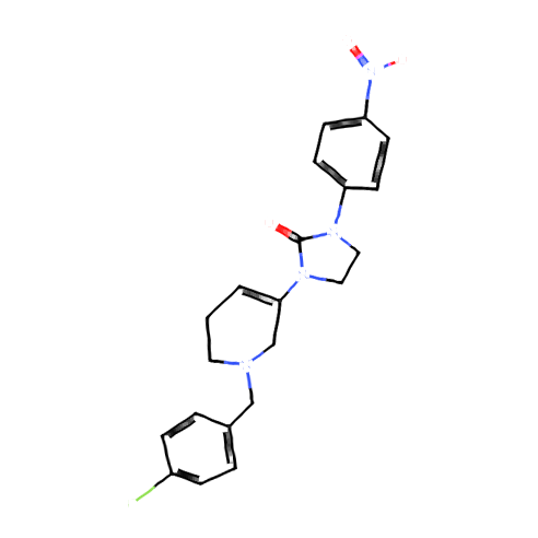 O=C1N(C2=CCCN(Cc3ccc(F)cc3)C2)CCN1c1ccc([N+](=O)[O-])cc1